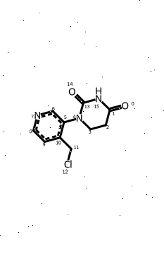 O=C1CCN(c2cnccc2CCl)C(=O)N1